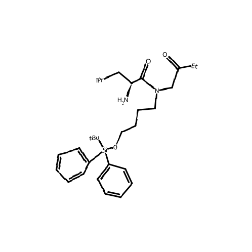 CCC(=O)CN(CCCCO[Si](c1ccccc1)(c1ccccc1)C(C)(C)C)C(=O)[C@@H](N)CC(C)C